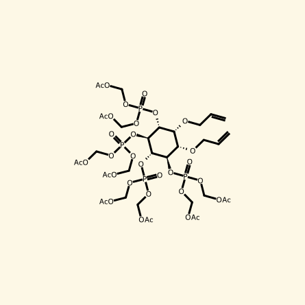 C=CCO[C@@H]1[C@H](OCC=C)[C@@H](OP(=O)(OCOC(C)=O)OCOC(C)=O)[C@H](OP(=O)(OCOC(C)=O)OCOC(C)=O)[C@@H](OP(=O)(OCOC(C)=O)OCOC(C)=O)[C@@H]1OP(=O)(OCOC(C)=O)OCOC(C)=O